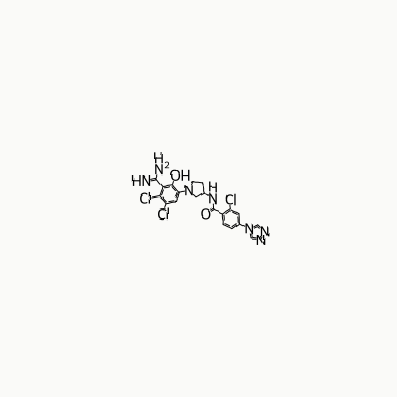 N=C(N)c1c(O)c(N2CC[C@@H](NC(=O)c3ccc(-n4cnnc4)cc3Cl)C2)cc(Cl)c1Cl